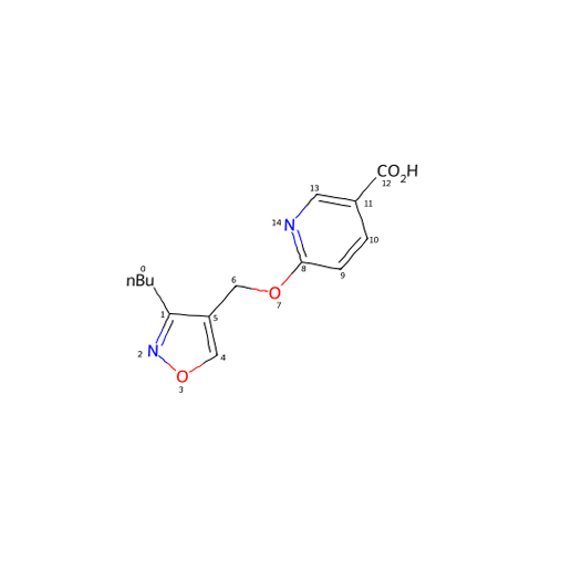 CCCCc1nocc1COc1ccc(C(=O)O)cn1